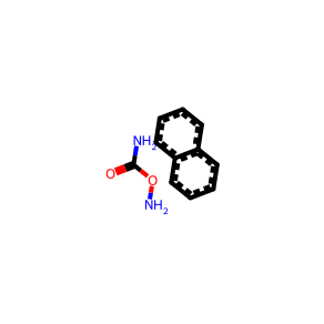 NOC(N)=O.c1ccc2ccccc2c1